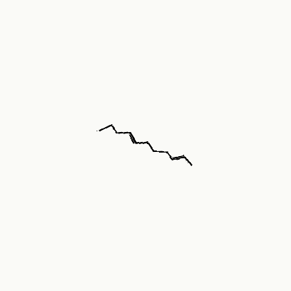 [CH2]CCC=CCCCC=CC